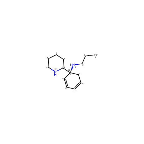 CC(C)CCN[C@]1(C2CCCCN2)C=CC=CC1